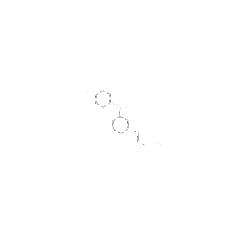 CCN(C)C=Nc1cc(F)cc(Nc2ccc(Cl)cc2F)c1C